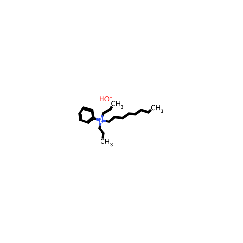 CCCCCCCC[N+](CCC)(CCC)c1ccccc1.[OH-]